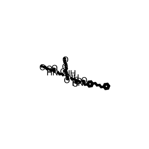 COCCOCC(=O)NCCCC[C@H](NC(=O)COCCOC)C(=O)NCCC(=O)ONC(=O)Cc1ccc(CCCCc2ccccc2)cc1